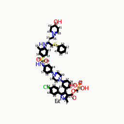 CCn1c(C)c(C(=O)OCP(=O)(O)O)c(-c2cccc(N3CCN(c4ccc(NS(=O)(=O)c5ccc(N[C@H](CCN6CCC(O)CC6)CSc6ccccc6)c(C)c5)cc4)CC3)c2)c1-c1ccc(Cl)cc1